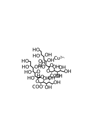 O=C(O[C@@H](C(=O)[O-])[C@@H](O)[C@H](O)[C@H](O)CO)[C@H](O)[C@H](O)[C@H](O)[C@@H](O)[C@H](O)CO.O=C(O[C@@H](C(=O)[O-])[C@@H](O)[C@H](O)[C@H](O)CO)[C@H](O)[C@H](O)[C@H](O)[C@@H](O)[C@H](O)CO.[Cu+2]